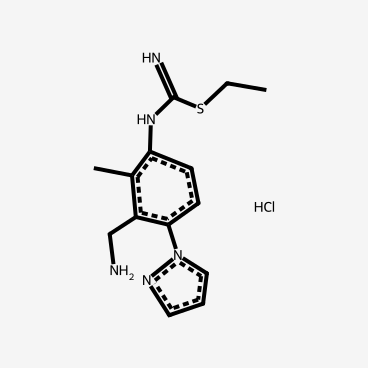 CCSC(=N)Nc1ccc(-n2cccn2)c(CN)c1C.Cl